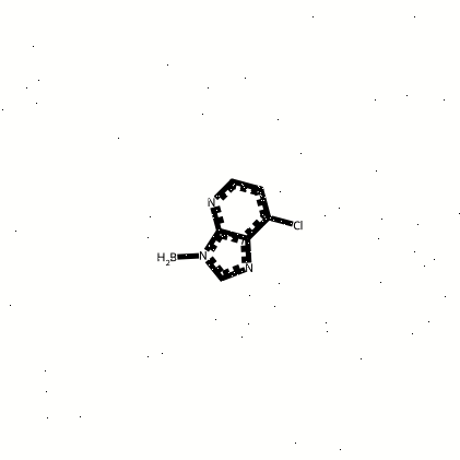 Bn1cnc2c(Cl)ccnc21